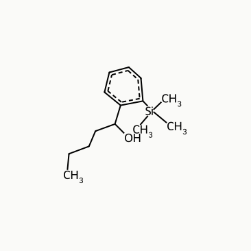 CCCCC(O)c1ccccc1[Si](C)(C)C